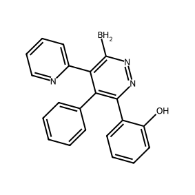 Bc1nnc(-c2ccccc2O)c(-c2ccccc2)c1-c1ccccn1